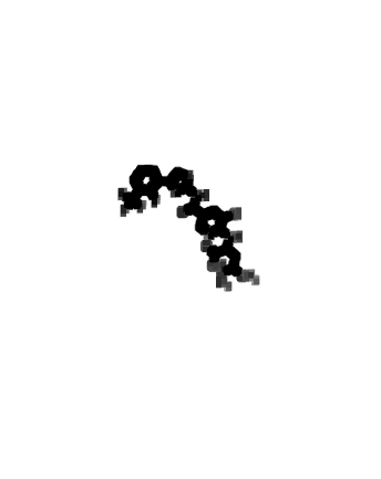 CC(C)CC(Nc1ncc(C(=O)Nc2nc(-c3cccc(C(F)(F)F)c3F)cs2)cc1Cl)C(=O)O